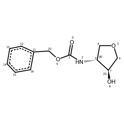 O=C(N[C@@H]1COC[C@H]1O)OCc1ccccc1